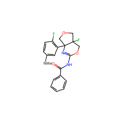 CNc1ccc(F)c(C23COCC2(F)COC(NC(=O)c2ccccc2)=N3)c1